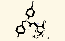 CC1(C)OC(=O)/C(=C/C(=O)N(Cc2ccc(F)cc2)c2ccc(F)cc2)O1